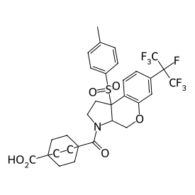 Cc1ccc(S(=O)(=O)C23CCN(C(=O)C45CCC(C(=O)O)(CC4)CC5)C2COc2cc(C(F)(C(F)(F)F)C(F)(F)F)ccc23)cc1